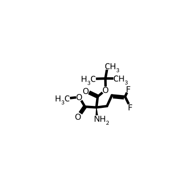 COC(=O)[C@@](N)(CC=C(F)F)C(=O)OC(C)(C)C